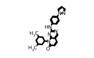 CC1CC(C)CC(n2c(=O)ccc3cnc(Nc4ccc(-n5cccn5)cc4)nc32)C1